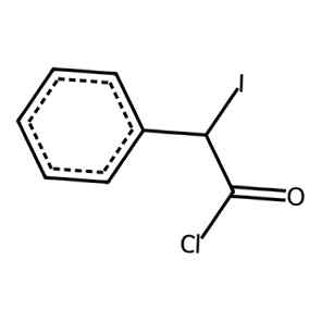 O=C(Cl)C(I)c1ccccc1